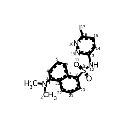 CN(C)c1cccc2c(S(=O)(=O)Nc3ccc(I)nn3)cccc12